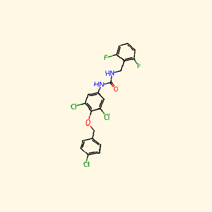 O=C(NCc1c(F)cccc1F)Nc1cc(Cl)c(OCc2ccc(Cl)cc2)c(Cl)c1